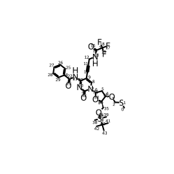 CSCO[C@@H]1C[C@H](n2cc(C#CCNC(=O)C(F)(F)F)c(NC(=O)c3ccccc3)nc2=O)O[C@@H]1CO[Si](C)(C)C(C)(C)C